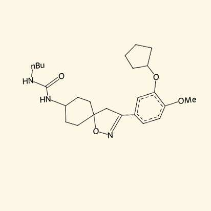 CCCCNC(=O)NC1CCC2(CC1)CC(c1ccc(OC)c(OC3CCCC3)c1)=NO2